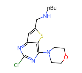 CCCCNCc1cc2nc(Cl)nc(N3CCOCC3)c2s1